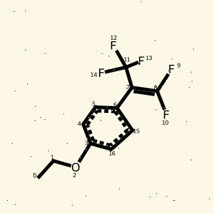 CCOc1ccc(C(=C(F)F)C(F)(F)F)cc1